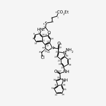 CCOC(=O)CCCSC1Nc2cccc3c4c(cc(c23)O1)N(C(=O)c1cc2cc(NC(=O)c3cc5ccccc5[nH]3)ccc2n1N)C[C@H]4CCl